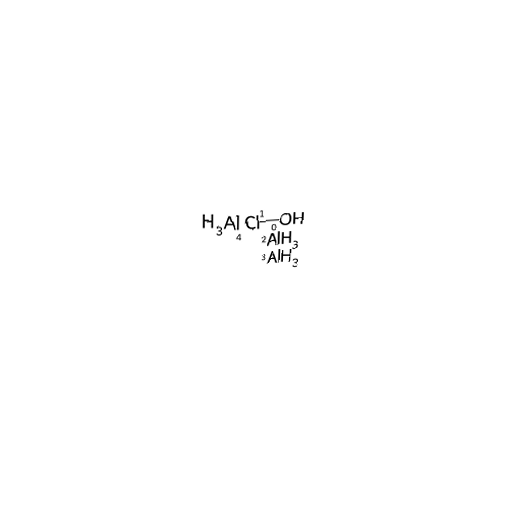 OCl.[AlH3].[AlH3].[AlH3]